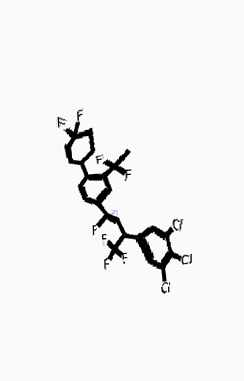 CC(F)(F)c1cc(/C(F)=C/C(c2cc(Cl)c(Cl)c(Cl)c2)C(F)(F)F)ccc1C1CCC(F)(F)CC1